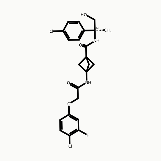 C[C@](CO)(NC(=O)C12CC(NC(=O)COc3ccc(Cl)c(F)c3)(C1)C2)c1ccc(Cl)cc1